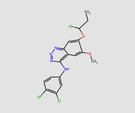 CCC(Cl)Oc1cc2nnnc(Nc3ccc(Cl)c(Cl)c3)c2cc1OC